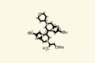 COCC(C)N1Cc2nc(C(C)(C)C)cn2C(C2CN(C3CCOCC3)Cc3nc(C(C)(C)C)cn32)C1